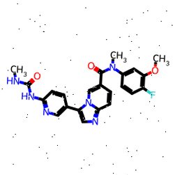 CNC(=O)Nc1ccc(-c2cnc3ccc(C(=O)N(C)c4ccc(F)c(OC)c4)cn23)cn1